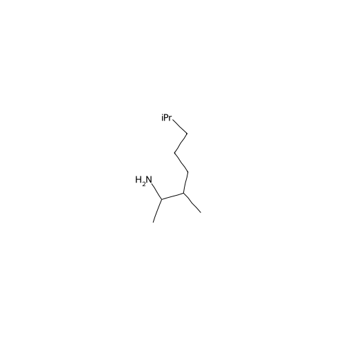 CC(C)CCCC(C)C(C)N